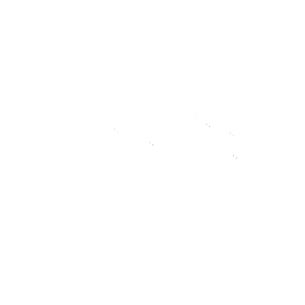 O=C(Nc1ccc(Cl)cc1N1CCN(CCC(F)(F)F)CC1)c1ccc(CN2CCC(N3CCC(O)CC3)CC2)cc1F